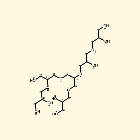 OCC(O)COCC(O)COC(COCC(O)CO)COCC(CO)OCC(O)CO